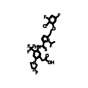 CC(C)n1c(CCOc2cc(F)cc(F)c2Cl)ccc1C(=S)Nc1cc(CC(=O)O)c(N2CC[C@@H](F)C2)cc1C(F)(F)F